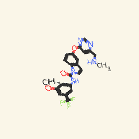 CNCc1cc(Oc2ccc3c(ccn3C(=O)Nc3cc(OC)cc(C(F)(F)F)c3)c2)ncn1